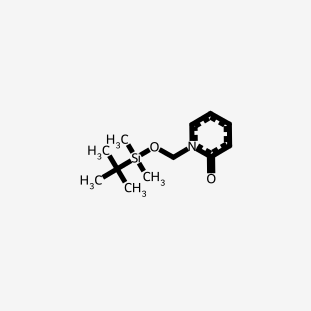 CC(C)(C)[Si](C)(C)OCn1ccccc1=O